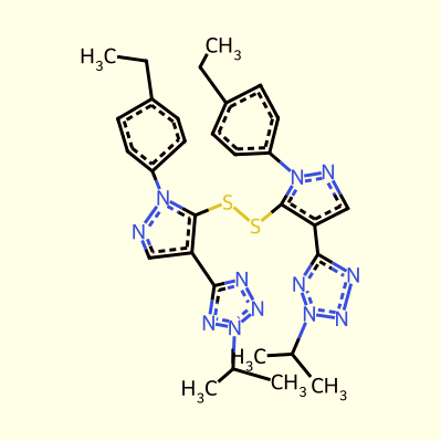 CCc1ccc(-n2ncc(-c3nnn(C(C)C)n3)c2SSc2c(-c3nnn(C(C)C)n3)cnn2-c2ccc(CC)cc2)cc1